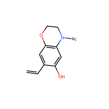 C=Cc1cc2c(cc1O)N(C(C)=O)CCO2